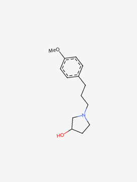 COc1ccc(CCCN2CCC(O)C2)cc1